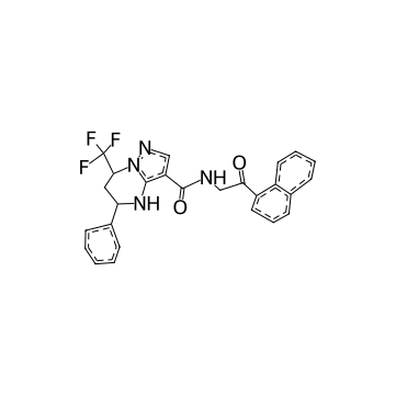 O=C(NCC(=O)c1cccc2ccccc12)c1cnn2c1NC(c1ccccc1)CC2C(F)(F)F